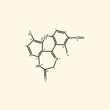 COc1ccc(F)c(C2=NCC(=O)Nc3ccc(Cl)c(Cl)c32)c1F